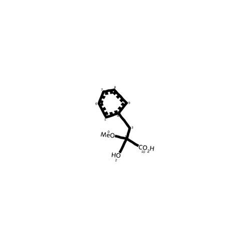 COC(O)(Cc1ccccc1)C(=O)O